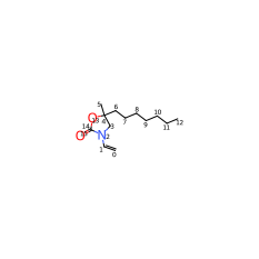 C=CN1CC(C)(CCCCCCC)OC1=O